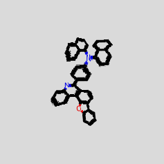 c1ccc2c(N(c3ccc(-c4nc5ccccc5c5c4ccc4c6ccccc6oc45)cc3)c3cccc4ccccc34)cccc2c1